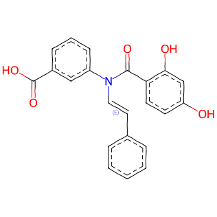 O=C(O)c1cccc(N(/C=C/c2ccccc2)C(=O)c2ccc(O)cc2O)c1